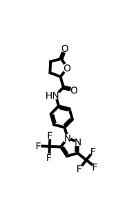 O=C1CCC(C(=O)Nc2ccc(-n3nc(C(F)(F)F)cc3C(F)(F)F)cc2)O1